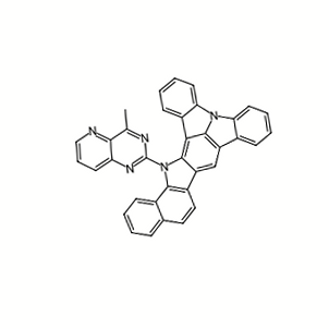 Cc1nc(-n2c3c4ccccc4ccc3c3cc4c5ccccc5n5c6ccccc6c(c32)c45)nc2cccnc12